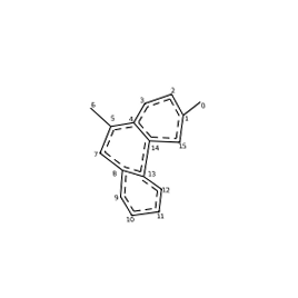 Cc1ccc2c(C)cc3ccccc3c2c1